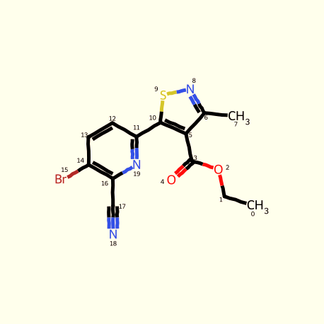 CCOC(=O)c1c(C)nsc1-c1ccc(Br)c(C#N)n1